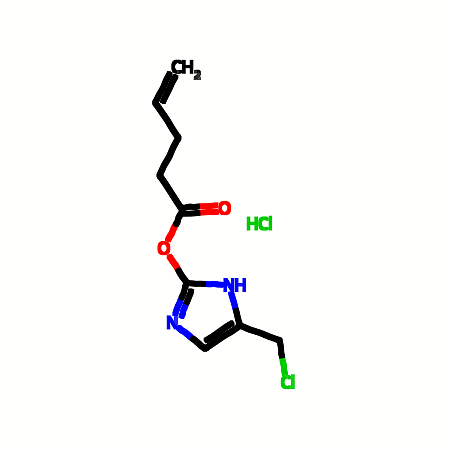 C=CCCC(=O)Oc1ncc(CCl)[nH]1.Cl